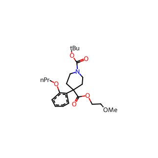 CCCOc1ccccc1C1(C(=O)OCCOC)CCN(C(=O)OC(C)(C)C)CC1